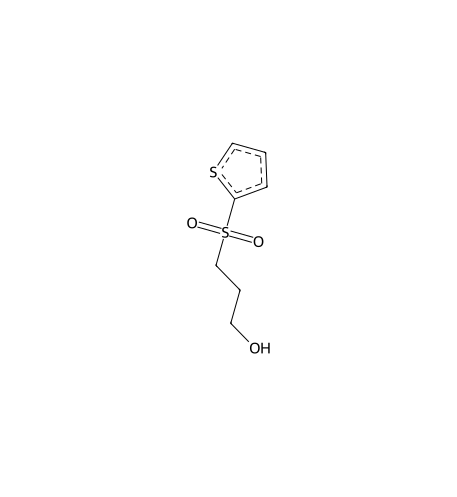 O=S(=O)(CCCO)c1cccs1